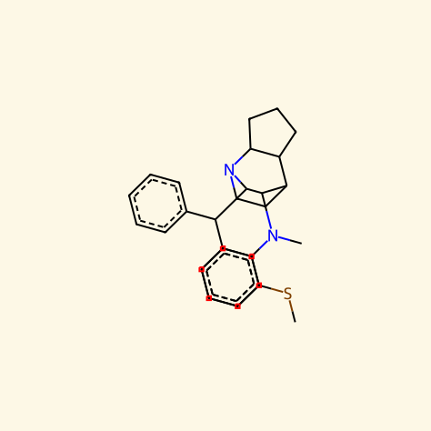 CSc1ccccc1N(C)C1C2CCN(C3CCCC23)C1C(c1ccccc1)c1ccccc1